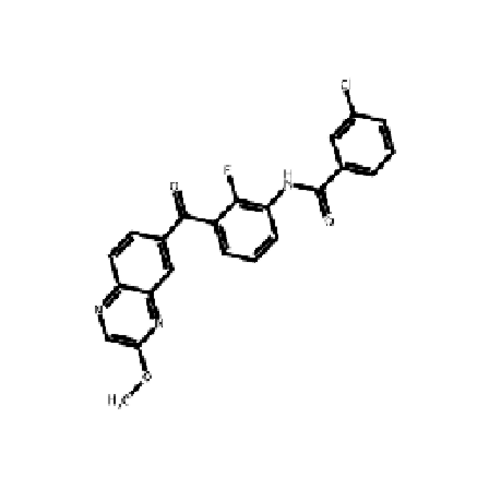 COc1cnc2ccc(C(=O)c3cccc(NC(=O)c4cccc(Cl)c4)c3F)cc2n1